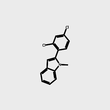 Cn1c(-c2ccc(Cl)cc2Cl)cc2ccccc21